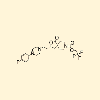 O=C(OCC(F)(F)F)N1CCC2(CC1)C[C@H](CCN1CCN(c3ccc(F)cc3)CC1)OC2=O